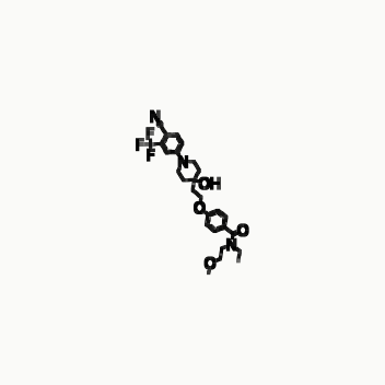 CCN(CCOC)C(=O)c1ccc(OCCC2(O)CCN(c3ccc(C#N)c(C(F)(F)F)c3)CC2)cc1